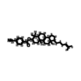 CC(C)=CCCCC1CCC2C3=C(CCC12C)C1(C)CCC(OC(=O)c2ccc(C#N)cc2)C(C)(C)C1CC3